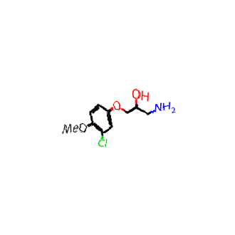 COc1ccc(OCC(O)CN)cc1Cl